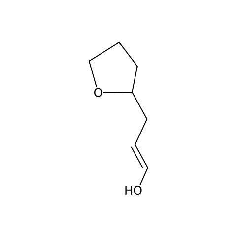 OC=CCC1CCCO1